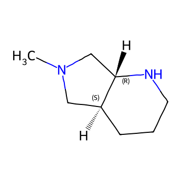 CN1C[C@@H]2CCCN[C@H]2C1